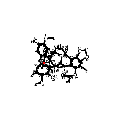 COc1cc2c(cc1O)CCN(C)[C@]21CS[C@@H]2c3c(OC(C)=O)c(C)c4c(c3[C@H](COC1=O)N1C2[C@H]2c3c(cc(C)c(OC)c3O)C[C@@H]([C@@H]1O)N2C)OCO4